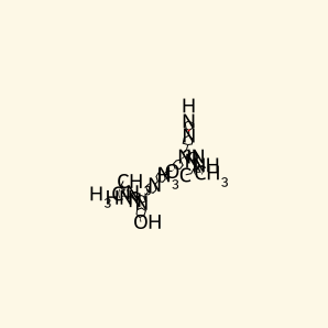 CCC[C@H](C)Nc1ncc2c(C3CCN(C4CCN(CO[C@H]5CC[C@H](n6cc(C7CCN(C8CCNCC8)CC7)c7cnc(N[C@@H](C)CCC)nc76)CC5)CC4)CC3)cn([C@H]3CC[C@H](O)CC3)c2n1